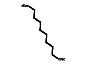 C[CH]CCCCCCCCCCCCCCCCCCCCCCCCCC